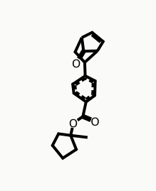 CC1(OC(=O)c2ccc(C3CC4C=CC3C4=O)cc2)CCCC1